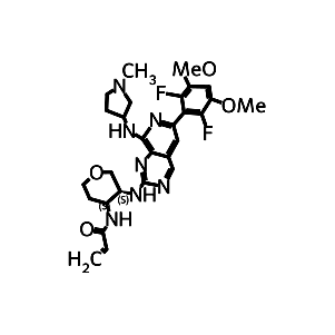 C=CC(=O)N[C@H]1CCOC[C@H]1Nc1ncc2cc(-c3c(F)c(OC)cc(OC)c3F)nc(NC3CCN(C)C3)c2n1